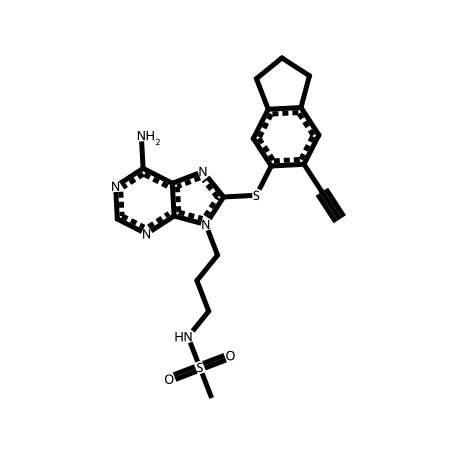 C#Cc1cc2c(cc1Sc1nc3c(N)ncnc3n1CCCNS(C)(=O)=O)CCC2